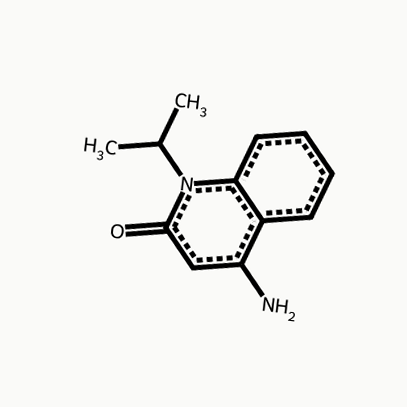 CC(C)n1c(=O)cc(N)c2ccccc21